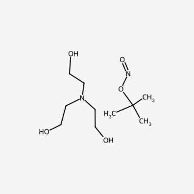 CC(C)(C)ON=O.OCCN(CCO)CCO